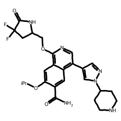 CC(C)Oc1cc2c(OCC3CC(F)(F)C(=O)N3)ncc(-c3cnn(C4CCNCC4)c3)c2cc1C(N)=O